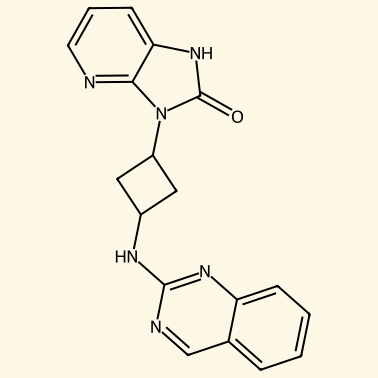 O=c1[nH]c2cccnc2n1C1CC(Nc2ncc3ccccc3n2)C1